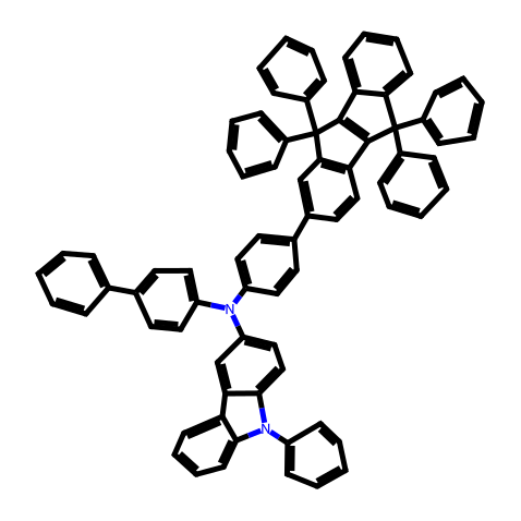 c1ccc(-c2ccc(N(c3ccc(-c4ccc5c(c4)C(c4ccccc4)(c4ccccc4)C4=C5C(c5ccccc5)(c5ccccc5)c5ccccc54)cc3)c3ccc4c(c3)c3ccccc3n4-c3ccccc3)cc2)cc1